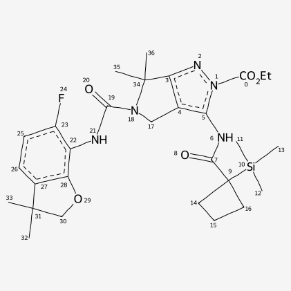 CCOC(=O)n1nc2c(c1NC(=O)C1([Si](C)(C)C)CCC1)CN(C(=O)Nc1c(F)ccc3c1OCC3(C)C)C2(C)C